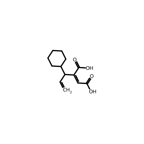 C=CC(C(=CC(=O)O)C(=O)O)C1CCCCC1